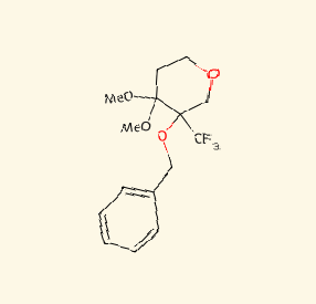 COC1(OC)CCOCC1(OCc1ccccc1)C(F)(F)F